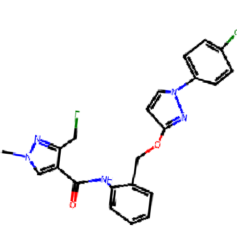 Cn1cc(C(=O)Nc2ccccc2COc2ccn(-c3ccc(Cl)cc3)n2)c(CF)n1